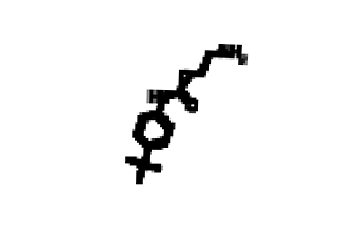 CC(C)(C)c1ccc(NC(=O)OCCN)cc1